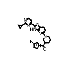 O=C([C@@H]1CCCN(c2ccc3nc(-c4ccnc(C5CC5)n4)[nH]c3n2)C1)N1CC[C@@H](F)C1